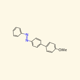 COc1ccc(-c2ccc(/N=N/c3ccccc3)cc2)cc1